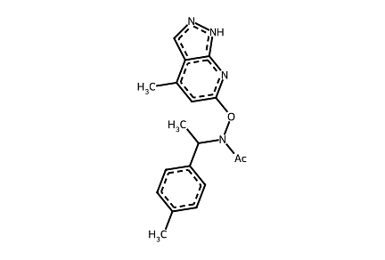 CC(=O)N(Oc1cc(C)c2cn[nH]c2n1)C(C)c1ccc(C)cc1